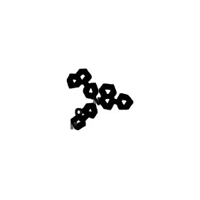 c1ccc(-c2ccc(N(c3ccc(-c4cccc5ccccc45)cc3)c3ccc4c(c3)oc3cnccc34)c3ccccc23)cc1